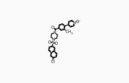 Cc1cc(C(=O)N2CCN(S(=O)(=O)c3ccc4cc(Cl)ccc4c3)CC2)ccc1-c1cc[n+]([O-])cc1